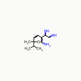 CC(C)C(C)(C)/C=C\C(=C\N)C(=N)C=N